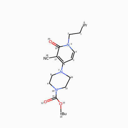 CC(C)CCn1ccc(N2CCN(C(=O)OC(C)(C)C)CC2)c(C#N)c1=O